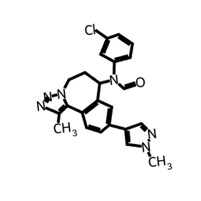 Cc1nnn2c1-c1ccc(-c3cnn(C)c3)cc1C(N(C=O)c1cccc(Cl)c1)CC2